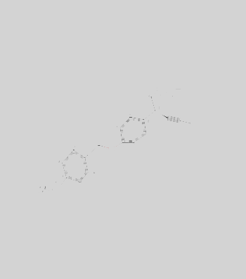 CC#C[C@H](CC(=O)O)c1ccc(OCc2ccc(OC)cc2)cc1